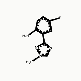 Cn1cnc(-c2cc(F)ccc2N)n1